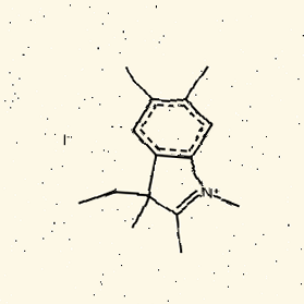 CCC1(C)C(C)=[N+](C)c2cc(C)c(C)cc21.[I-]